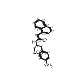 O=C(O)C[C@H](Cc1ccc([N+](=O)[O-])cc1)NC(=O)Cc1cccc2ccccc12